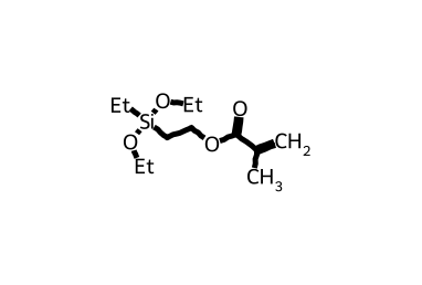 C=C(C)C(=O)OCC[Si](CC)(OCC)OCC